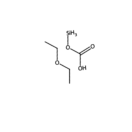 CCOCC.O=C(O)O[SiH3]